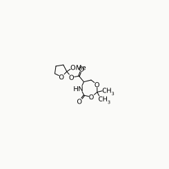 COC1(OC(=O)C2COC(C)(C)OC(=O)N2)CCCO1